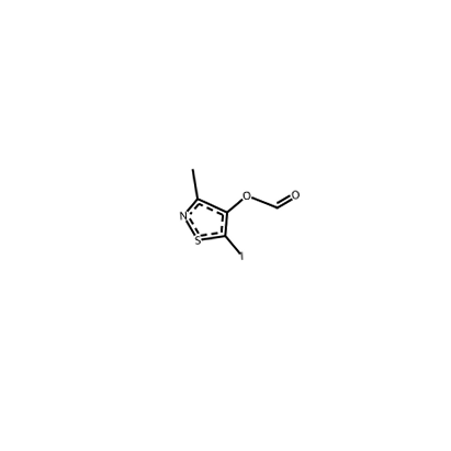 Cc1nsc(I)c1OC=O